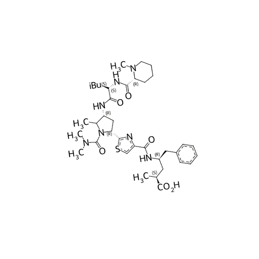 CC[C@H](C)[C@H](NC(=O)[C@H]1CCCCN1C)C(=O)N[C@@H]1C[C@H](c2nc(C(=O)N[C@@H](Cc3ccccc3)C[C@H](C)C(=O)O)cs2)N(C(=O)N(C)C)C1C